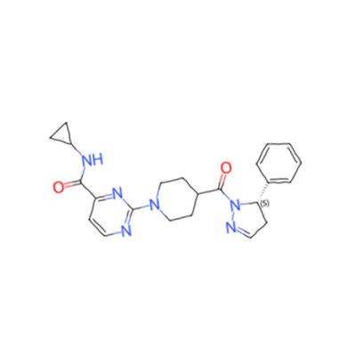 O=C(NC1CC1)c1ccnc(N2CCC(C(=O)N3N=CC[C@H]3c3ccccc3)CC2)n1